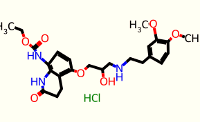 CCOC(=O)Nc1ccc(OCC(O)CNCCc2ccc(OC)c(OC)c2)c2c1NC(=O)CC2.Cl